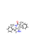 CN(C(=O)C(C)(C)C1=CC=C=C=C1)[C@@H]1CNC[C@H]1c1ccccc1